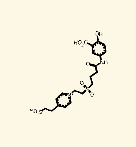 O=C(CCCS(=O)(=O)CC[n+]1ccc(CCS(=O)(=O)O)cc1)Nc1ccc(O)c(C(=O)O)c1